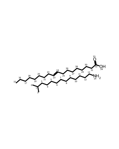 CC(C)CCCCCCCCCCCN.CCCCCCCCC=CCCCCCCCC(=O)O